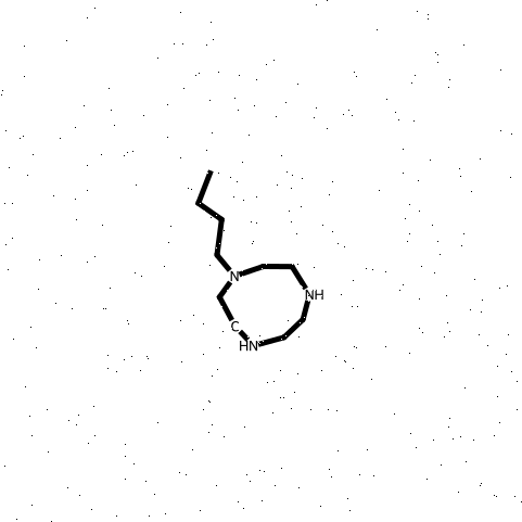 CCCCN1CCNCCNCC1